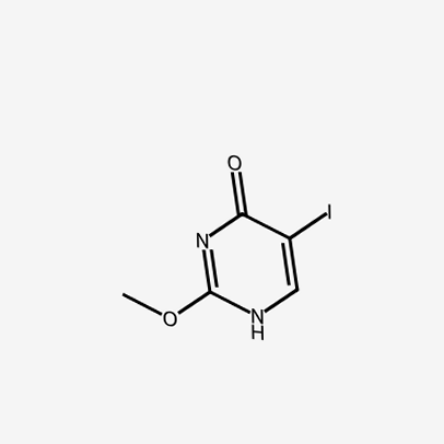 COc1nc(=O)c(I)c[nH]1